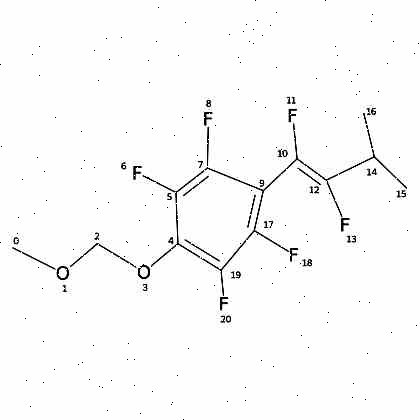 COCOc1c(F)c(F)c(C(F)=C(F)C(C)C)c(F)c1F